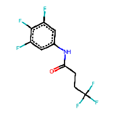 O=C(CCC(F)(F)F)Nc1cc(F)c(F)c(F)c1